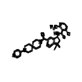 CC1(C)CC(NC(=O)c2c(Cl)cccc2C(F)(F)F)c2cc(C(=O)N3CCC4(CC3)CCN(c3ccncc3)CC4)ccc21